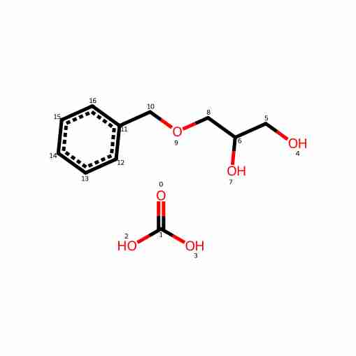 O=C(O)O.OCC(O)COCc1ccccc1